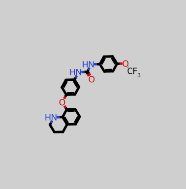 O=C(Nc1ccc(Oc2cccc3c2NCCC3)cc1)Nc1ccc(OC(F)(F)F)cc1